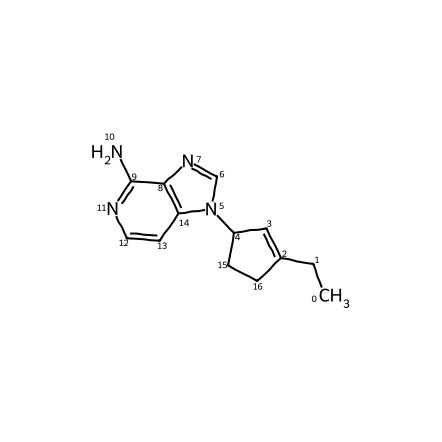 CCC1=CC(n2cnc3c(N)nccc32)CC1